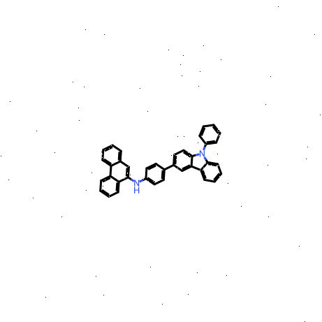 c1ccc(-n2c3ccccc3c3cc(-c4ccc(Nc5cc6ccccc6c6ccccc56)cc4)ccc32)cc1